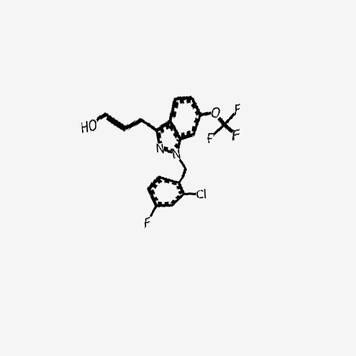 OC=CCc1nn(Cc2ccc(F)cc2Cl)c2cc(OC(F)(F)F)ccc12